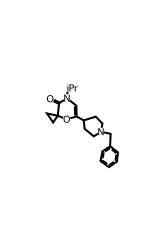 CC(C)N1C=C(C2CCN(Cc3ccccc3)CC2)OC2(CC2)C1=O